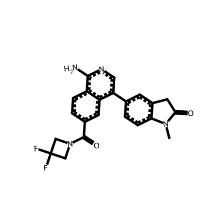 CN1C(=O)Cc2cc(-c3cnc(N)c4ccc(C(=O)N5CC(F)(F)C5)cc34)ccc21